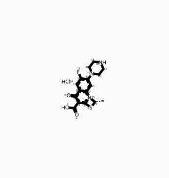 C[C@@H]1Sc2c(C(=O)O)c(=O)c3cc(F)c(N4CCNCC4)cc3n21.Cl